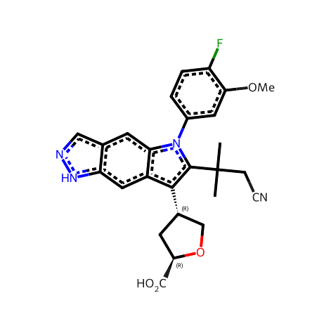 COc1cc(-n2c(C(C)(C)CC#N)c([C@@H]3CO[C@@H](C(=O)O)C3)c3cc4[nH]ncc4cc32)ccc1F